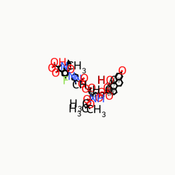 COc1c(N2CCN(C(=O)OCOC(=O)C[C@@H](CC(=O)OCC(=O)[C@]3(O)CCC4C5CCC6=CC(=O)C=C[C@@]6(C)C5[C@H](O)C[C@]43C)NC(=O)OC(C)(C)C)C(C)C2)c(F)cc2c(=O)c(C(=O)O)cn(C3CC3)c12